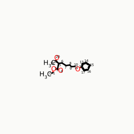 CCOC(=O)C(CCCCCOc1ccccc1)C(C)=O